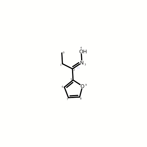 CC/C(=N\O)c1ccco1